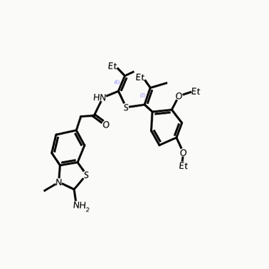 CCOc1ccc(/C(S/C(NC(=O)Cc2ccc3c(c2)SC(N)N3C)=C(\C)CC)=C(\C)CC)c(OCC)c1